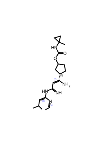 C/C=N\C(=C/C(C)C)NC(=N)/C=C(\N)[C@H]1CCC(OC(=O)NC2(C)CC2)C1